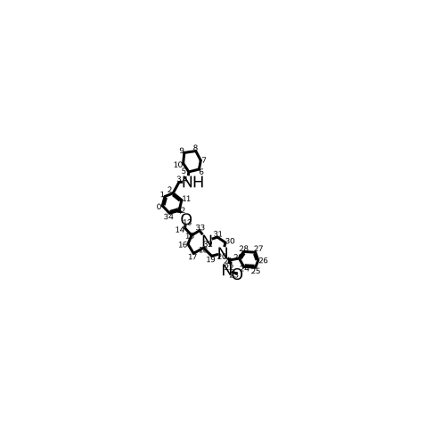 c1cc(CNC2CCCCC2)cc(OCC2CCC3CN(c4noc5ccccc45)CCN3C2)c1